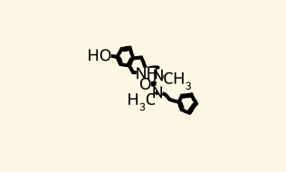 CN(CCc1ccccc1)C(=O)N(C)C[C@@H]1Cc2ccc(O)cc2CN1